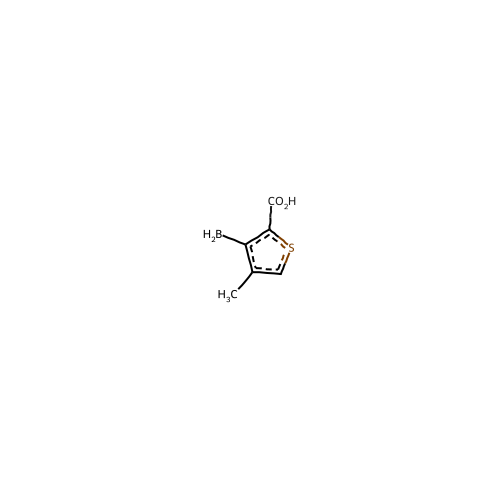 Bc1c(C)csc1C(=O)O